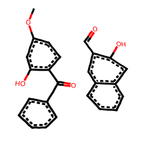 COc1ccc(C(=O)c2ccccc2)c(O)c1.O=Cc1cc2ccccc2cc1O